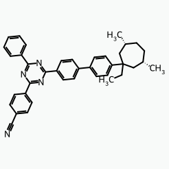 CCC1(c2ccc(-c3ccc(-c4nc(-c5ccccc5)nc(-c5ccc(C#N)cc5)n4)cc3)cc2)C[C@H](C)CC[C@H](C)C1